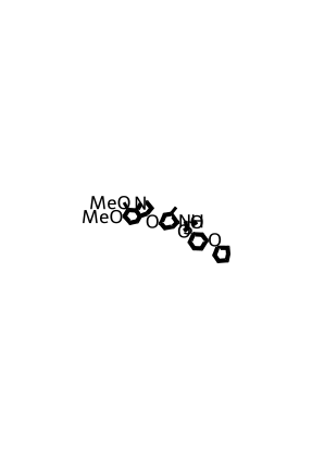 COc1ccc2c(Oc3ccc(NS(=O)(=O)c4cccc(Oc5ccccc5)c4)c(C)c3)ccnc2c1OC